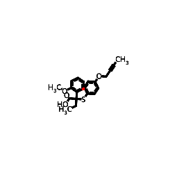 CC#CCOc1ccc(SC(CC)(C(=O)O)c2ccccc2OC)cc1